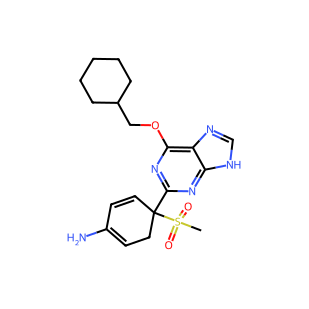 CS(=O)(=O)C1(c2nc(OCC3CCCCC3)c3nc[nH]c3n2)C=CC(N)=CC1